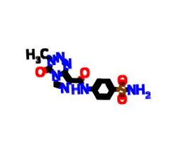 Cn1nnc2c(C(=O)Nc3ccc(S(N)(=O)=O)cc3)ncn2c1=O